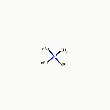 CCCC[N+](C)(CCCC)CCCC.[I-]